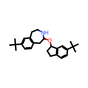 CC(C)(C)c1ccc2c(c1)CCNC(OC1CCc3ccc(C(C)(C)C)cc31)C2